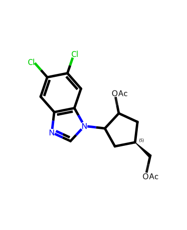 CC(=O)OC[C@@H]1CC(OC(C)=O)C(n2cnc3cc(Cl)c(Cl)cc32)C1